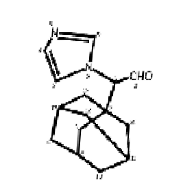 O=CC(n1ccnc1)C12CC3CC(CC(C3)C1)C2